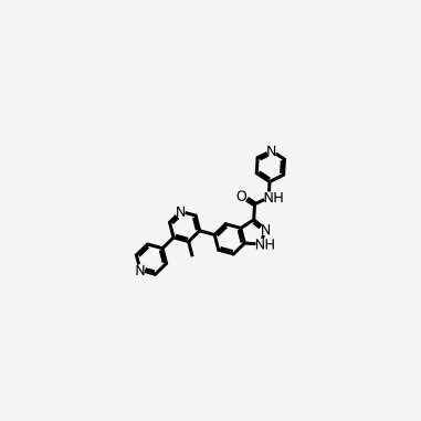 Cc1c(-c2ccncc2)cncc1-c1ccc2[nH]nc(C(=O)Nc3ccncc3)c2c1